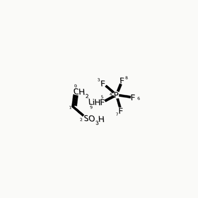 C=CS(=O)(=O)O.FP(F)(F)(F)F.[LiH]